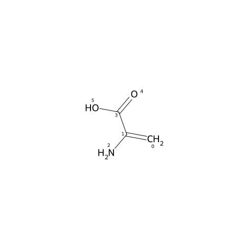 C=C(N)C(=O)O